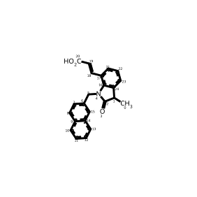 CC1C(=O)N(Cc2ccc3ccccc3c2)c2c(C=CC(=O)O)cccc21